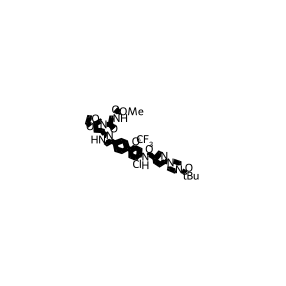 COC(=O)NCC(=O)N1CC2(CC1c1nc(-c3ccc(-c4cc(Cl)c(NC(=O)c5ccc(N6CCN(C(=O)C(C)(C)C)CC6)nc5)cc4OC(F)(F)F)cc3)c[nH]1)OCCO2